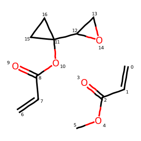 C=CC(=O)OC.C=CC(=O)OC1(C2CO2)CC1